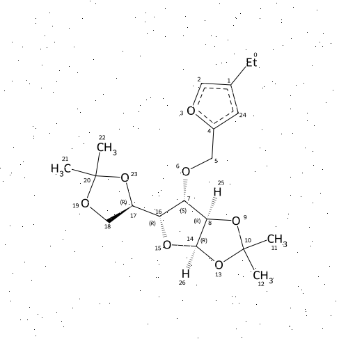 CCc1coc(CO[C@@H]2[C@H]3OC(C)(C)O[C@H]3O[C@@H]2[C@H]2COC(C)(C)O2)c1